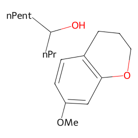 CCCCCC(O)CCC.COc1ccc2c(c1)OCCC2